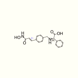 O=C(/C=C/c1ccc(CN[C@@H](C(=O)O)c2ccccc2)cc1)NO